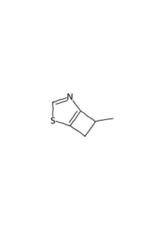 CC1Cc2scnc21